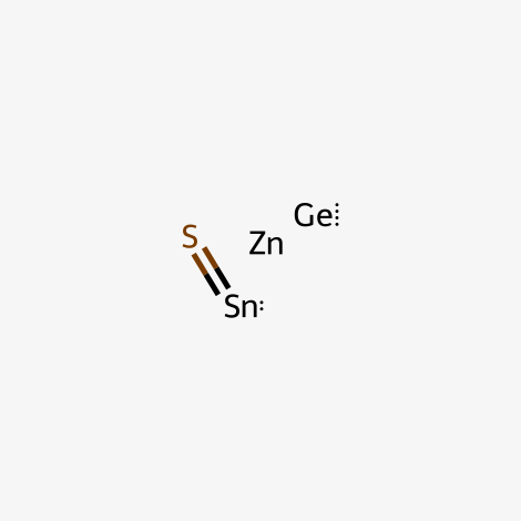 [Ge].[S]=[Sn].[Zn]